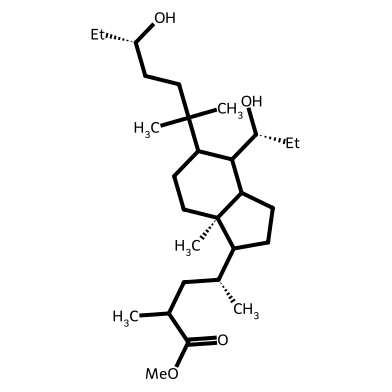 CC[C@H](O)CCC(C)(C)C1CC[C@@]2(C)C(CCC2[C@H](C)CC(C)C(=O)OC)C1[C@H](O)CC